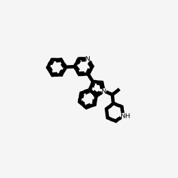 CC(C1CCCNC1)n1cc(-c2cncc(-c3ccccc3)c2)c2ccccc21